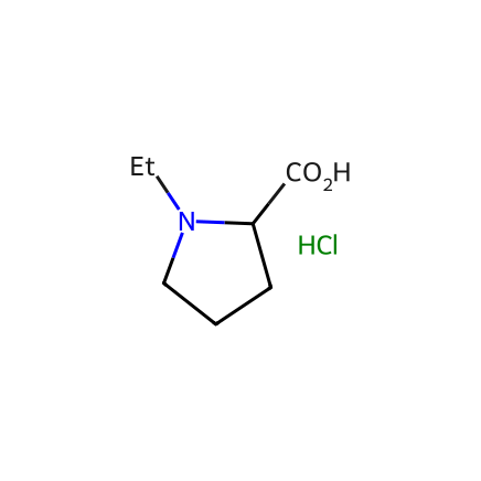 CCN1CCCC1C(=O)O.Cl